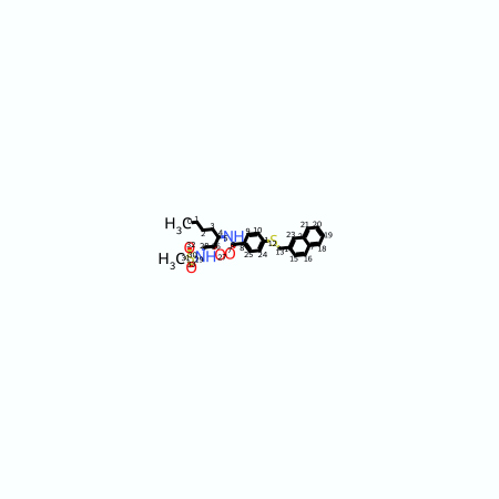 CCCCC(NC(=O)c1ccc(SCc2ccc3ccccc3c2)cc1)C(=O)CNS(C)(=O)=O